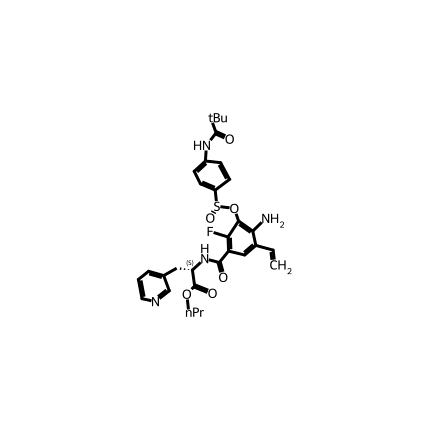 C=Cc1cc(C(=O)N[C@@H](Cc2cccnc2)C(=O)OCCC)c(F)c(OS(=O)c2ccc(NC(=O)C(C)(C)C)cc2)c1N